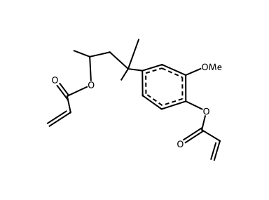 C=CC(=O)Oc1ccc(C(C)(C)CC(C)OC(=O)C=C)cc1OC